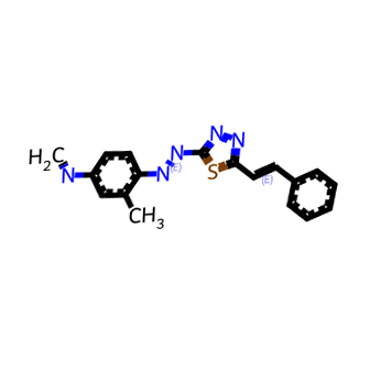 C=Nc1ccc(/N=N/c2nnc(/C=C/c3ccccc3)s2)c(C)c1